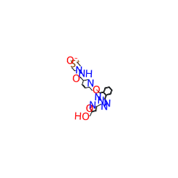 O=C(NN1CC[S+]([O-])CC1)C1C=CC(COc2nn3c(-c4cc(CO)on4)nnc3c3ccccc23)=NC1